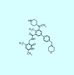 Cc1cc(C)c(CNC(=O)c2cc(-c3ccc(CN4CCOCC4)cc3)cc(N(C)C3CCNCC3)c2C)c(=O)[nH]1